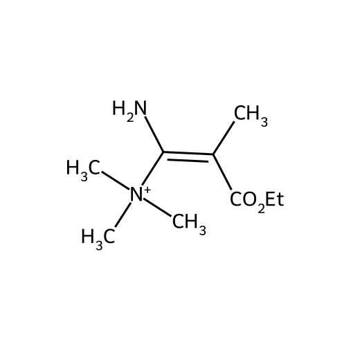 CCOC(=O)C(C)=C(N)[N+](C)(C)C